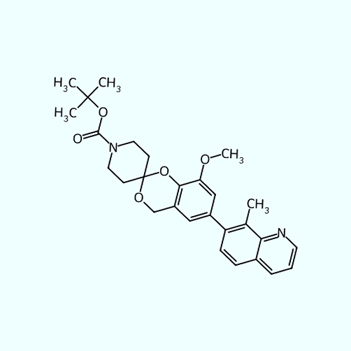 COc1cc(-c2ccc3cccnc3c2C)cc2c1OC1(CCN(C(=O)OC(C)(C)C)CC1)OC2